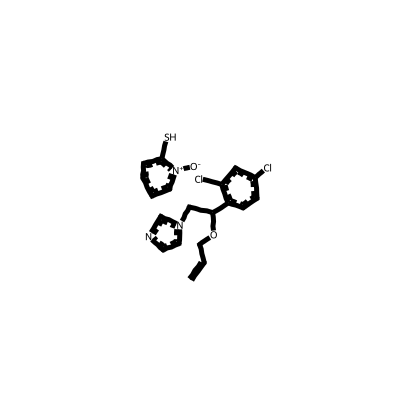 C=CCOC(Cn1ccnc1)c1ccc(Cl)cc1Cl.[O-][n+]1ccccc1S